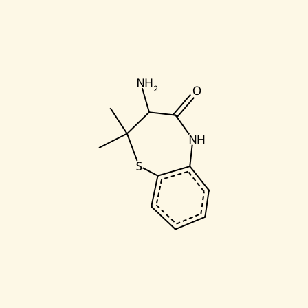 CC1(C)Sc2ccccc2NC(=O)C1N